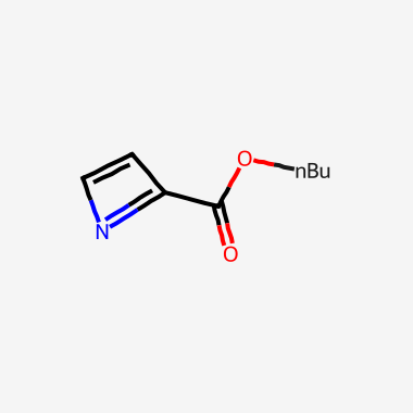 CCCCOC(=O)C1=NC=C1